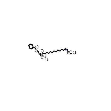 CCCCCCCC/C=C\CCCCCCCCCCCC(=O)N(C)CCOC(=O)c1ccccc1